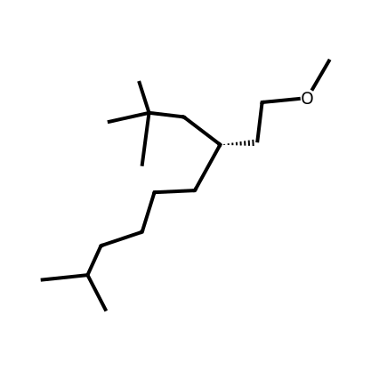 COCC[C@H](CCCCC(C)C)CC(C)(C)C